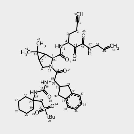 C#CCCC(NC(=O)[C@@H]1C2C(CN1C(=O)[C@@H](NC(=O)NC1(CS(=O)(=O)C(C)(C)C)CCCCC1)C1Cc3ccccc3C1)C2(C)C)C(=O)C(=O)NCC=C